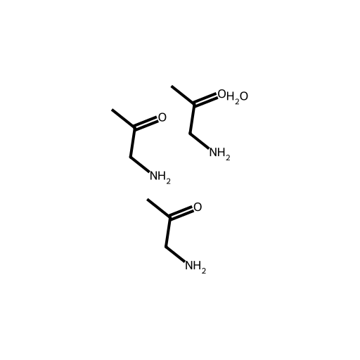 CC(=O)CN.CC(=O)CN.CC(=O)CN.O